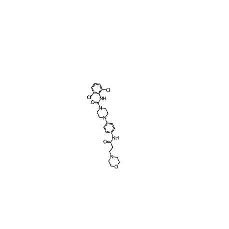 O=C(CCN1CCOCC1)Nc1ccc(N2CCN(C(=O)Nc3c(Cl)cccc3Cl)CC2)cc1